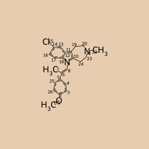 COc1ccc(C(C)=Cn2c3c(c4cc(Cl)ccc42)CCN(C)CC3)cc1